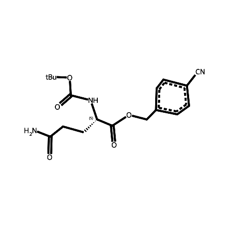 CC(C)(C)OC(=O)N[C@@H](CCC(N)=O)C(=O)OCc1ccc(C#N)cc1